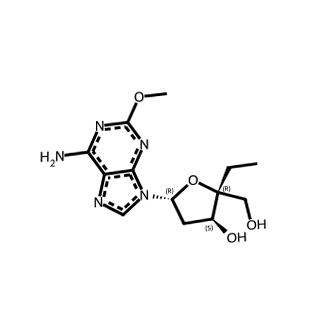 CC[C@]1(CO)O[C@@H](n2cnc3c(N)nc(OC)nc32)C[C@@H]1O